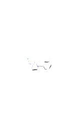 COc1c(C)cccc1-c1ccn(CC(F)(F)F)n1